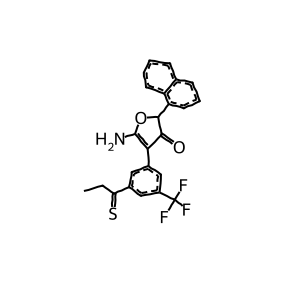 CCC(=S)c1cc(C2=C(N)OC(c3cccc4ccccc34)C2=O)cc(C(F)(F)F)c1